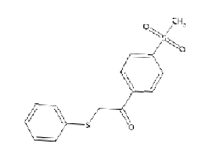 CS(=O)(=O)c1ccc(C(=O)CSc2ccccc2)cc1